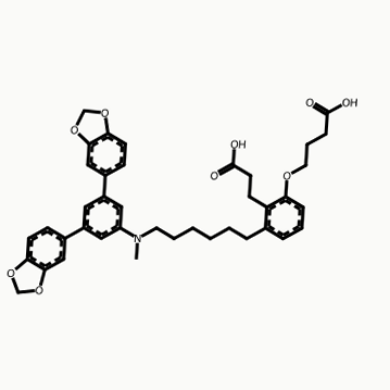 CN(CCCCCCc1cccc(OCCCC(=O)O)c1CCC(=O)O)c1cc(-c2ccc3c(c2)OCO3)cc(-c2ccc3c(c2)OCO3)c1